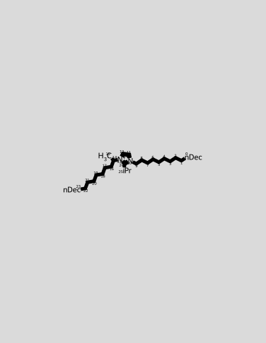 CCCCCCCCCCCCCCCCCCCn1cc[n+](C(C)CCCCCCCCCCCCCCCCC)c1C(C)C